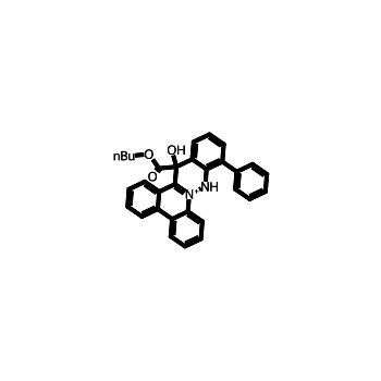 CCCCOC(=O)C1(O)c2cccc(-c3ccccc3)c2N[n+]2c1c1ccccc1c1ccccc12